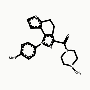 CNc1ccc(-n2nc(C(=O)N3CCN(C)CC3)c3c2-c2ccsc2CC3)cc1